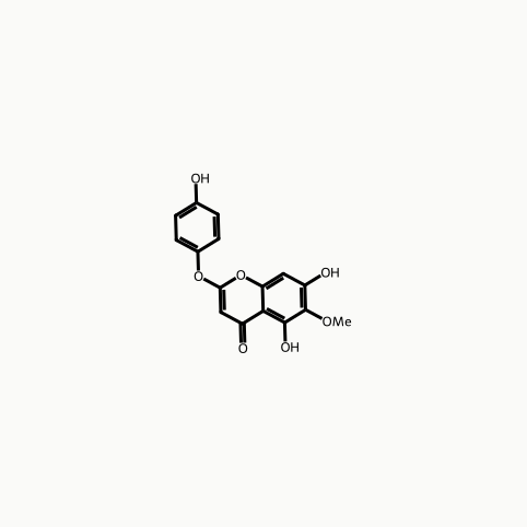 COc1c(O)cc2oc(Oc3ccc(O)cc3)cc(=O)c2c1O